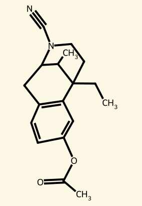 CCC12CCN(C#N)C(Cc3ccc(OC(C)=O)cc31)C2C